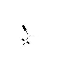 C#CN(CCC)S(=O)(=O)CC